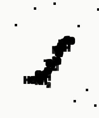 Cc1c(-c2ccn3c(=O)c(CNCC4CCC(=O)N4)cnc3c2)cccc1-c1cccc(-c2ccc3c(c2)CC(NC(=O)[C@@H](N)CO)C3)c1Cl